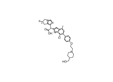 Cc1cc(-c2ccc(OCCN3CCC(CO)CC3)cc2)c(Cl)c2nn(C(C(=O)O)c3ncn4c3C[C@@H](F)C4)cc12